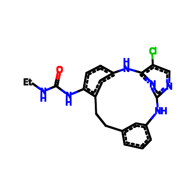 CCNC(=O)Nc1ccc2cc1CCc1cccc(c1)Nc1ncc(Cl)c(n1)N2